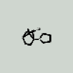 CC1(C)C2CC[C@@]1(N1CCCC1)[C@H](O)C2